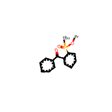 CC(C)OP(=O)(c1ccccc1C(=O)c1ccccc1)C(C)(C)C